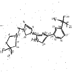 FC1(F)CCN(CN2C=CN(c3nc(-c4cccc(C(F)(F)F)c4)c[nH]3)C2)CC1